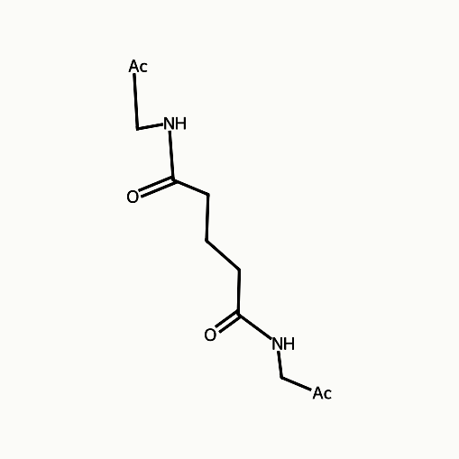 CC(=O)CNC(=O)CCCC(=O)NCC(C)=O